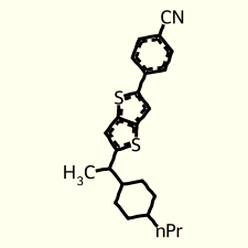 CCCC1CCC(C(C)c2cc3sc(-c4ccc(C#N)cc4)cc3s2)CC1